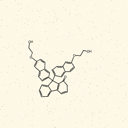 O=C1CC=CC2=C1C(c1ccc3cc(OCCO)ccc3c1)(c1ccc3cc(OCCO)ccc3c1)c1ccccc12